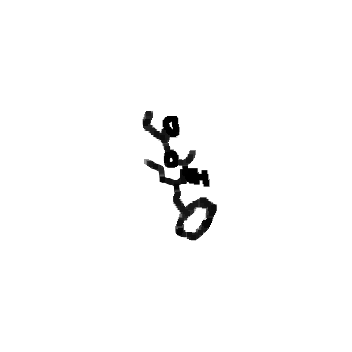 C=CC(=O)OC(C)NC(CCC)Cc1ccccc1